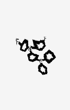 Fc1ccc(N(c2ccc(F)cc2)c2cccc(P(c3ccccc3)c3ccccc3)c2)cc1